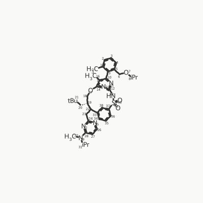 Cc1cccc(COC(C)C)c1-c1nc2nc(c1C)OC[C@@H](CC(C)(C)C)C(Cc1nccc(N(C)C(C)C)n1)c1cccc(c1)S(=O)(=O)N2